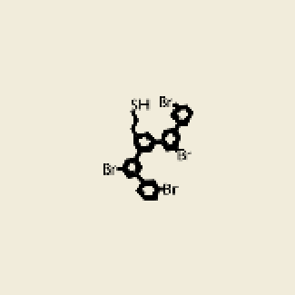 SCCCc1cc(-c2cc(Br)cc(-c3cccc(Br)c3)c2)cc(-c2cc(Br)cc(-c3cccc(Br)c3)c2)c1